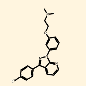 CN(C)CCOc1cccc(-n2nc(-c3ccc(Cl)cc3)c3cccnc32)c1